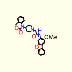 COc1cc2c(cc1NC(=O)CN1CCC(N3C(=O)OCc4ccccc43)CC1)oc1ccccc12